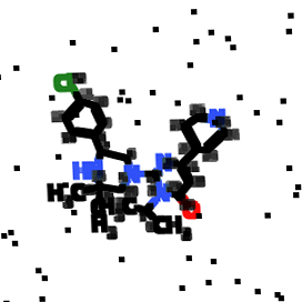 CC(C)n1c(N2CC(c3ccc(Cl)cc3)NC(C)(C)C2)nc(-c2ccncc2)cc1=O